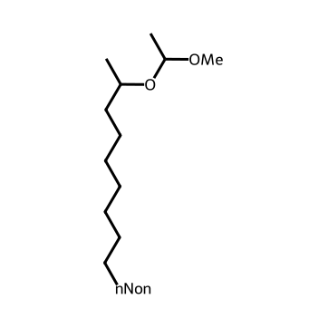 CCCCCCCCCCCCCCCCC(C)OC(C)OC